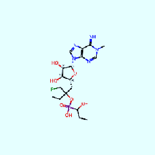 CCC(O)P(=O)(O)OC(CC)(CF)C[C@H]1O[C@@H](n2cnc3c(=N)n(C)cnc32)[C@H](O)[C@@H]1O